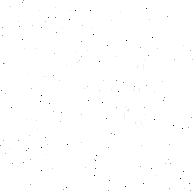 CCCCCCl.C[SiH](C)c1ccccc1